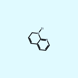 CCN1CC=Cc2cccnc21